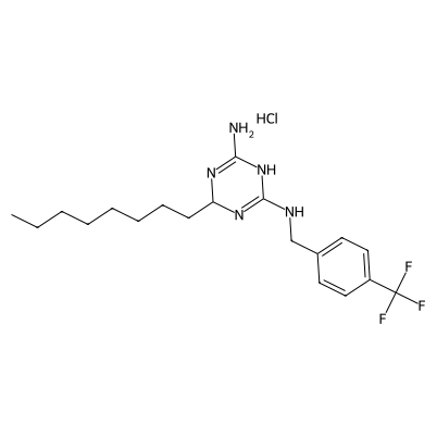 CCCCCCCCC1N=C(N)NC(NCc2ccc(C(F)(F)F)cc2)=N1.Cl